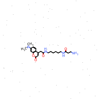 CN(C)c1ccc2c(CC(=O)NCCCCCCNC(=O)CCN)cc(=O)oc2c1